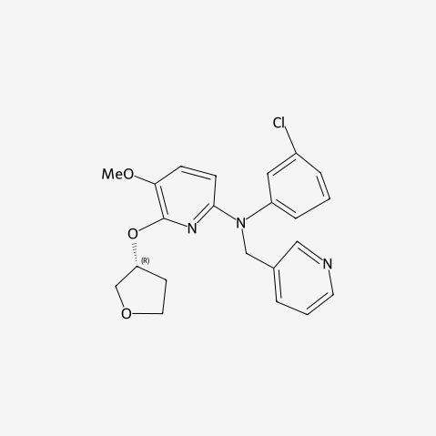 COc1ccc(N(Cc2cccnc2)c2cccc(Cl)c2)nc1O[C@@H]1CCOC1